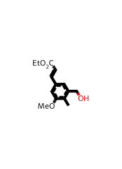 CCOC(=O)/C=C/c1cc(CO)c(C)c(OC)c1